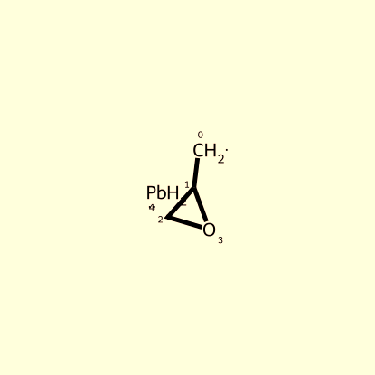 [CH2]C1CO1.[PbH2]